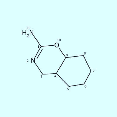 NC1=NCC2CCCCC2O1